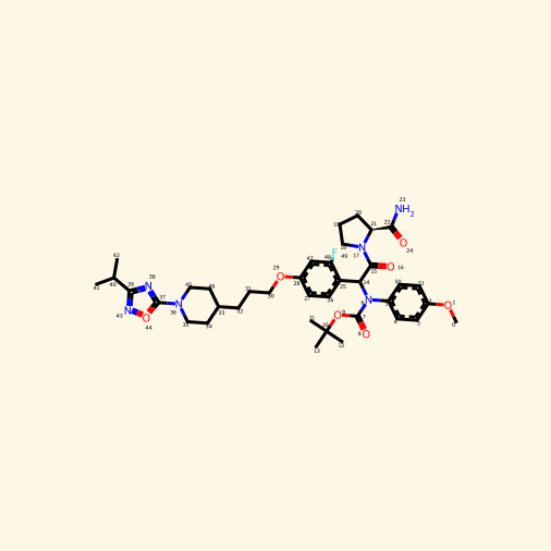 COc1ccc(N(C(=O)OC(C)(C)C)C(C(=O)N2CCC[C@H]2C(N)=O)c2ccc(OCCCC3CCN(c4nc(C(C)C)no4)CC3)cc2F)cc1